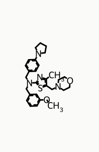 COc1cccc(CN(Cc2ccc(N3CCCC3)cc2)c2nc(C)c(CN3CCOCC3)s2)c1